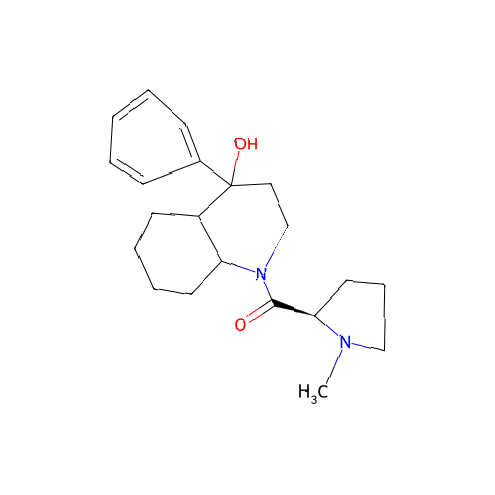 CN1CCC[C@@H]1C(=O)N1CCC(O)(c2ccccc2)C2CCCCC21